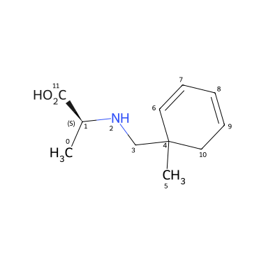 C[C@H](NCC1(C)C=CC=CC1)C(=O)O